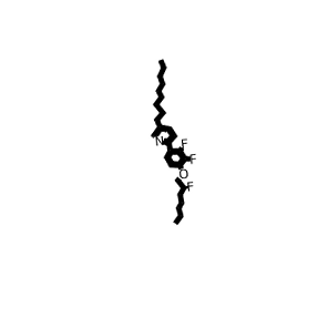 CCCCCCCCCc1ccc(-c2ccc(OC[C@@H](F)CCCCC)c(F)c2F)nc1